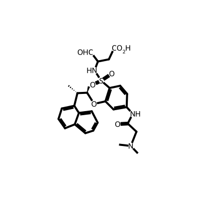 C[C@@H](Oc1cc(NC(=O)CN(C)C)ccc1S(=O)(=O)NC(C=O)CC(=O)O)[C@@H](C)c1cccc2ccccc12